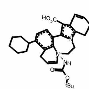 CC(C)(C)OC(=O)N[N@+]12C=CCc3c(C4CCCCC4)ccc(c31)-c1c(C(=O)O)c3c(n1CC2)CCC=C3